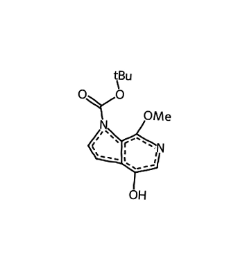 COc1ncc(O)c2ccn(C(=O)OC(C)(C)C)c12